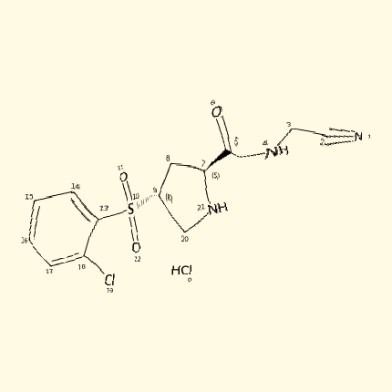 Cl.N#CCNC(=O)[C@@H]1C[C@@H](S(=O)(=O)c2ccccc2Cl)CN1